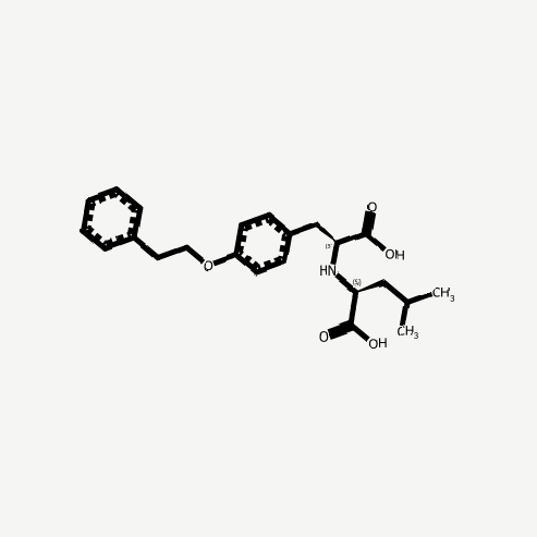 CC(C)C[C@H](N[C@@H](Cc1ccc(OCCc2ccccc2)cc1)C(=O)O)C(=O)O